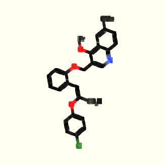 COc1ccc2ncc(COc3ccccc3C=C(Oc3ccc(Cl)cc3)C(=O)O)c(OC(C)C)c2c1